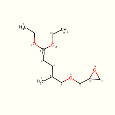 CCO[SiH](CCC(C)COCC1CO1)OCC